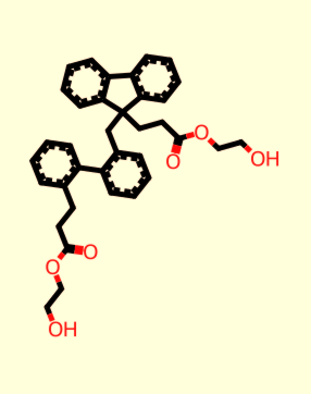 O=C(CCc1ccccc1-c1ccccc1CC1(CCC(=O)OCCO)c2ccccc2-c2ccccc21)OCCO